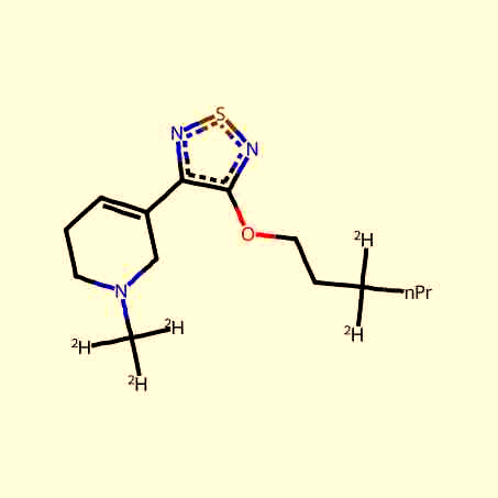 [2H]C([2H])(CCC)CCOc1nsnc1C1=CCCN(C([2H])([2H])[2H])C1